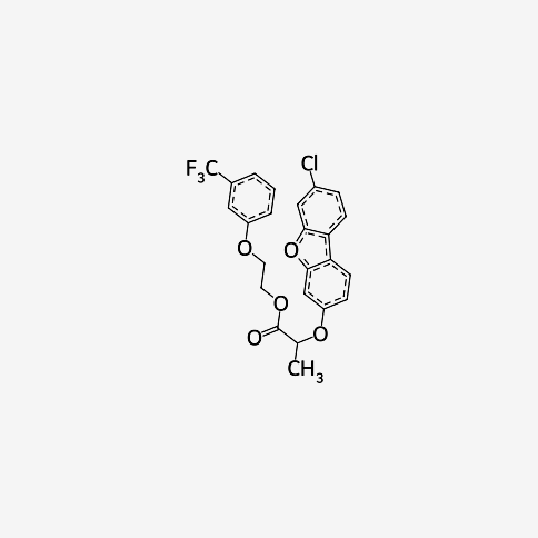 CC(Oc1ccc2c(c1)oc1cc(Cl)ccc12)C(=O)OCCOc1cccc(C(F)(F)F)c1